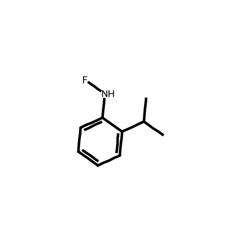 CC(C)c1ccccc1NF